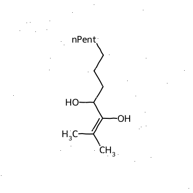 CCCCCCCCC(O)C(O)=C(C)C